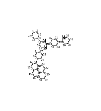 c1ccc(-c2cc(-c3ccc(-c4ccc5ccc6cccc7ccc4c5c67)cc3)nc(-c3ccc(-c4ccccn4)cc3)n2)cc1